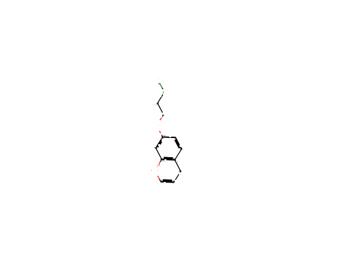 ClCCCOc1ccc2c(c1)OC=CC2